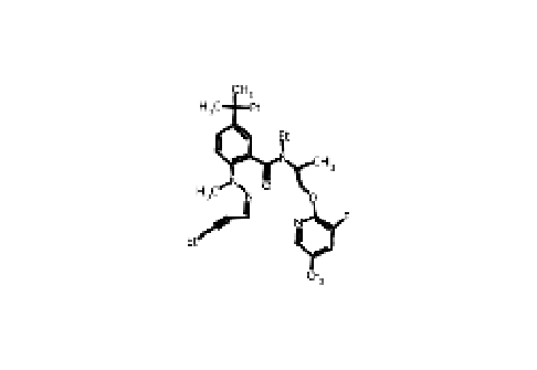 CCC#C/C=N\N(C)c1ccc(C(C)(C)CC)cc1C(=O)N(CC)C(C)COc1ncc(C(F)(F)F)cc1F